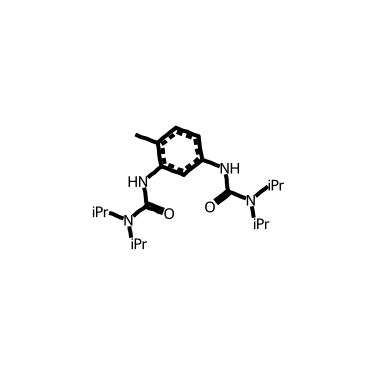 Cc1ccc(NC(=O)N(C(C)C)C(C)C)cc1NC(=O)N(C(C)C)C(C)C